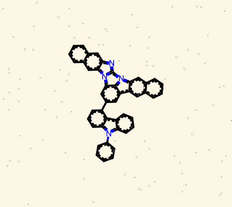 c1ccc(-n2c3ccccc3c3c(-c4cc5c6cc7ccccc7cc6n6c5c(c4)n4c5cc7ccccc7cc5nc46)cccc32)cc1